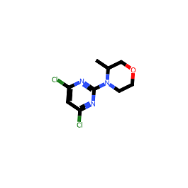 CC1COCCN1c1nc(Cl)cc(Cl)n1